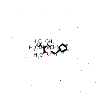 CC(OC=Cc1ccccc1)=C(C(C)C)C(C)C